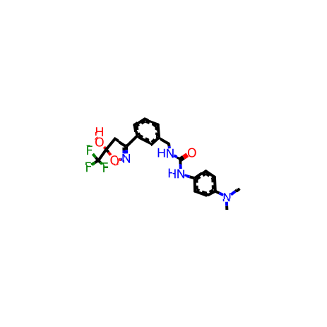 CN(C)c1ccc(NC(=O)NCc2cccc(C3=NOC(O)(C(F)(F)F)C3)c2)cc1